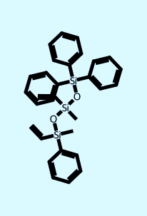 C=C[Si](C)(O[Si](C)(C=C)c1ccccc1)O[Si](c1ccccc1)(c1ccccc1)c1ccccc1